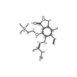 C=Cc1c(C)c2c(c(OCC[Si](C)(C)C)c1CC=C(C)CBr)C(=O)OC2